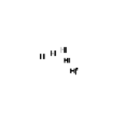 I.I.I.I.[Hf]